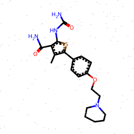 Cc1c(-c2ccc(OCCN3CCCCC3)cc2)sc(NC(N)=O)c1C(N)=O